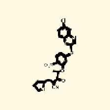 CC(Oc1cc(Oc2cnc3cc(Cl)ccc3n2)ccc1[N+](=O)[O-])C(=O)C(C#N)CC1CCCO1